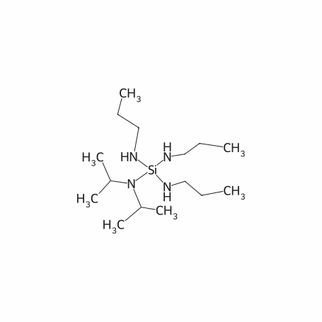 CCCN[Si](NCCC)(NCCC)N(C(C)C)C(C)C